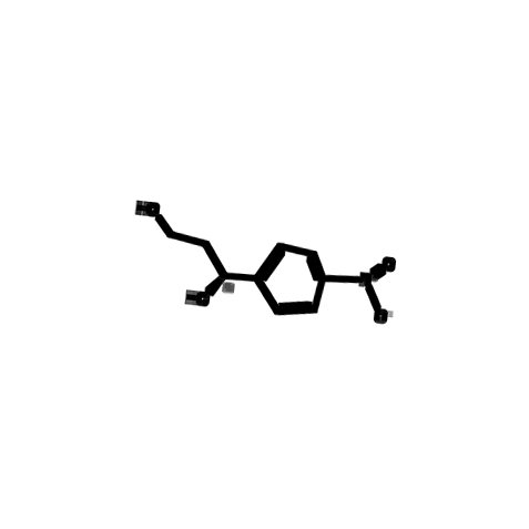 O=[N+]([O-])c1ccc([C@@H](O)CCO)cc1